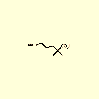 COCCCC(C)(C)C(=O)O